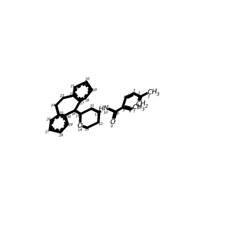 C=C(C)/C=C\C(=C/C)C(=O)NC1CCOC(C2c3ccccc3CCc3ccccc32)C1